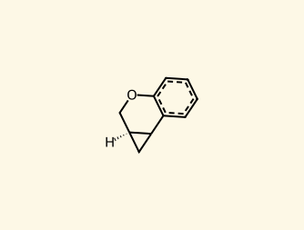 c1ccc2c(c1)OC[C@@H]1CC21